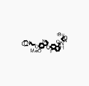 COc1cc2c(Oc3ccc4c(C(=O)Nc5cc(C(C)(C)C)on5)cccc4c3F)ccnc2cc1OCCCN1CCOCC1